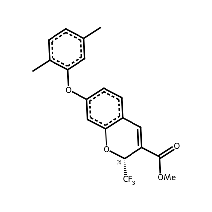 COC(=O)C1=Cc2ccc(Oc3cc(C)ccc3C)cc2O[C@H]1C(F)(F)F